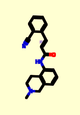 CN1CCc2c(cccc2NC(=O)/C=C/c2ccccc2C#N)C1